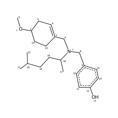 COC1CC=C(CN(Cc2ccc(O)cc2)C(C)CCC(C)C)CC1